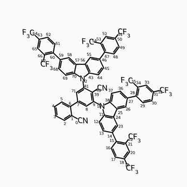 N#Cc1ccccc1-c1cc(-n2c3ccc(-c4ccc(C(F)(F)F)cc4C(F)(F)F)cc3c3cc(-c4ccc(C(F)(F)F)cc4C(F)(F)F)ccc32)c(C#N)c(-n2c3ccc(-c4ccc(C(F)(F)F)cc4C(F)(F)F)cc3c3cc(-c4ccc(C(F)(F)F)cc4C(F)(F)F)ccc32)c1